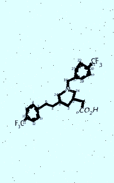 O=C(O)CC1CC(CCc2ccc(C(F)(F)F)cc2)CN(Cc2ccc(C(F)(F)F)cc2)C1